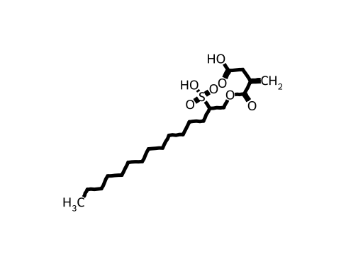 C=C(CC(=O)O)C(=O)OCC(CCCCCCCCCCCCC)S(=O)(=O)O